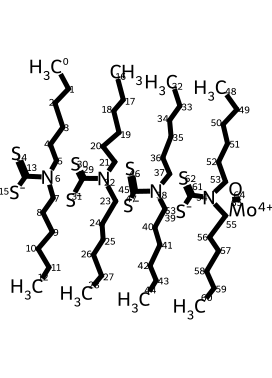 CCCCCCN(CCCCCC)C(=S)[S-].CCCCCCN(CCCCCC)C(=S)[S-].CCCCCCN(CCCCCC)C(=S)[S-].CCCCCCN(CCCCCC)C(=S)[S-].[O]=[Mo+4]